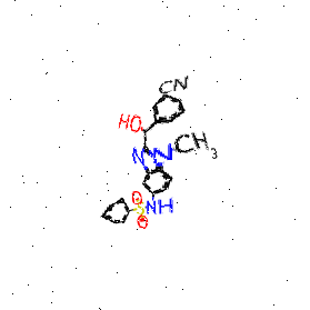 Cn1c(C(O)c2cccc(C#N)c2)nc2cc(NS(=O)(=O)c3ccccc3)ccc21